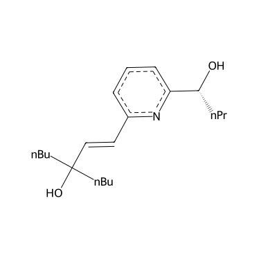 CCCCC(O)(/C=C/c1cccc([C@H](O)CCC)n1)CCCC